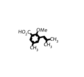 COc1c(C=C(C)C)cc(C)cc1C(=O)O